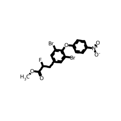 COC(=O)C(F)Cc1cc(Br)c(Oc2ccc([N+](=O)[O-])cc2)c(Br)c1